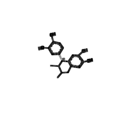 CC1Cc2cc(O)c(O)cc2[C@@H](c2ccc(O)c(O)c2)C1C